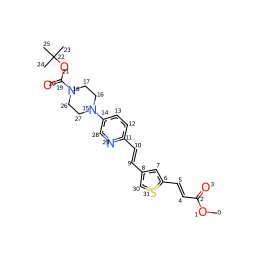 COC(=O)C=Cc1cc(C=Cc2ccc(N3CCN(C(=O)OC(C)(C)C)CC3)cn2)cs1